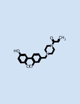 C=CC(=O)N1CCN(Cc2ccc(-c3cc(O)ccc3Cl)c(Cl)c2)CC1